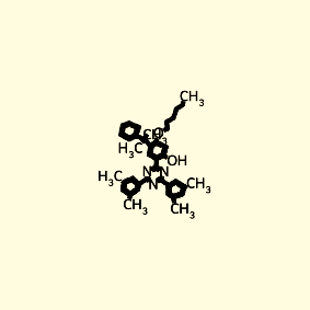 CCCCCCOc1cc(O)c(-c2nc(-c3cc(C)cc(C)c3)nc(-c3cc(C)cc(C)c3)n2)cc1C(C)(C)c1ccccc1